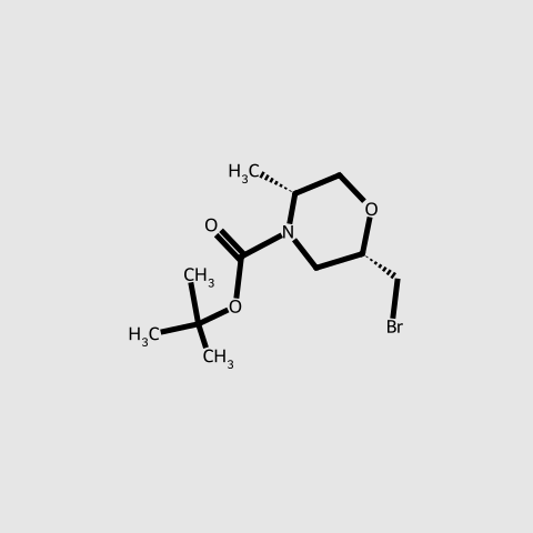 C[C@@H]1CO[C@H](CBr)CN1C(=O)OC(C)(C)C